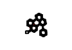 Clc1ccc(-c2c(-c3ccccc3)ccc3cccc(-c4ccccc4)c23)cc1